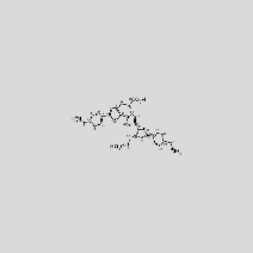 NCc1ccc(-c2cc(CCC(=O)O)c(-c3ccc(-c4sc(-c5ccc(CN)cc5)cc4CCC(=O)O)s3)s2)cc1